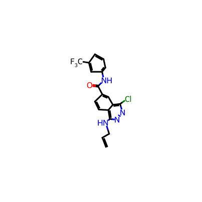 C=CCNc1nnc(Cl)c2cc(C(=O)Nc3cccc(C(F)(F)F)c3)ccc12